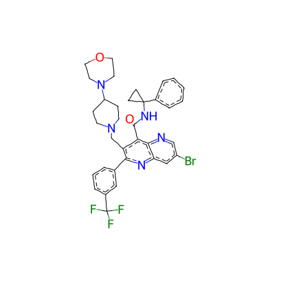 O=C(NC1(c2ccccc2)CC1)c1c(CN2CCC(N3CCOCC3)CC2)c(-c2cccc(C(F)(F)F)c2)nc2cc(Br)cnc12